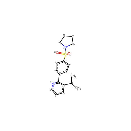 CC(C)c1cccnc1-c1ccc(S(=O)(=O)N2CCCC2)cc1